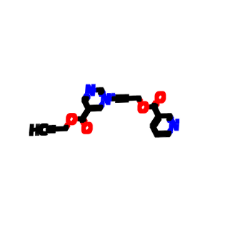 C#CCOC(=O)c1cnc[n+](C#CCOC(=O)c2cccnc2)c1